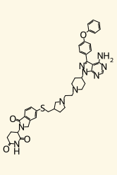 Nc1ncnc2c1c(-c1ccc(Oc3ccccc3)cc1)nn2C1CCN(CCN2CCC(CSc3ccc4c(c3)CN(C3CCC(=O)NC3=O)C4=O)C2)CC1